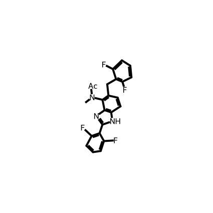 CC(=O)N(C)c1c(Cc2c(F)cccc2F)ccc2[nH]c(-c3c(F)cccc3F)nc12